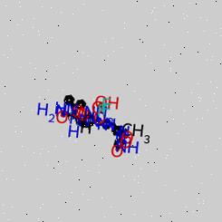 Cn1c(=O)n(C2CCC(=O)NC2=O)c2ccc(CN3CCN(CC(=O)N4CC[C@H]5CC[C@@H](C(=O)N[C@@H](CCC(N)=O)C(=O)NC(c6ccccc6)c6ccccc6)N5C(=O)[C@@H](N)C4)CC3)cc21.O=C(O)C(F)(F)F